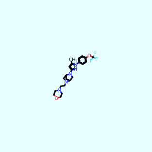 Cc1cc(N2CC3CC2CN3CCN2CCOCC2)nn1-c1ccc(OC(F)(F)F)cc1